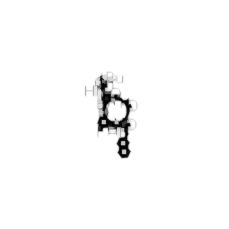 CN1CC(=O)N2C[C@H](NC(=O)OC(C)(C)C)C[C@H]2COc2ccc(F)cc2C(=O)N(C)[C@H](C(=O)NCc2ccc3ccccc3c2)CCC1=O